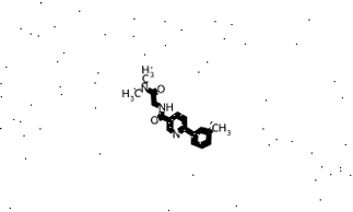 Cc1cccc(-c2ccc(C(=O)NCC(=O)N(C)C)cn2)c1